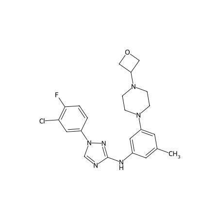 Cc1cc(Nc2ncn(-c3ccc(F)c(Cl)c3)n2)cc(N2CCN(C3COC3)CC2)c1